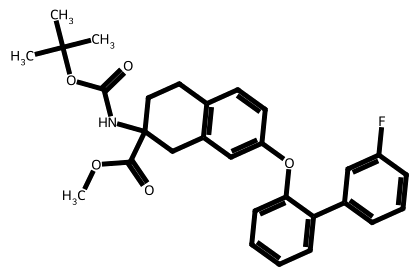 COC(=O)C1(NC(=O)OC(C)(C)C)CCc2ccc(Oc3ccccc3-c3cccc(F)c3)cc2C1